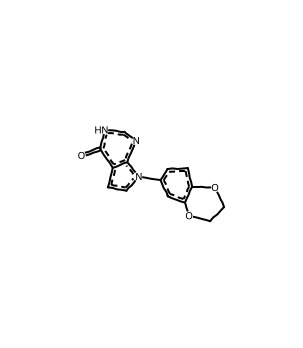 O=c1[nH]cnc2c1ccn2-c1ccc2c(c1)OCCO2